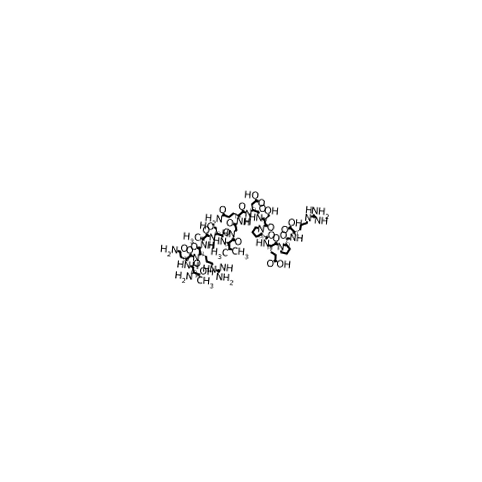 CC(C)[C@H](NC(=O)[C@H](CO)NC(=O)[C@H](C)NC(=O)[C@H](CCCNC(=N)N)NC(=O)[C@H](CC(N)=O)NC(=O)[C@@H](N)[C@@H](C)O)C(=O)NCC(=O)N[C@@H](CCC(N)=O)C(=O)N[C@@H](CC(=O)O)C(=O)N[C@@H](CO)C(=O)N1CCC[C@H]1C(=O)N[C@@H](CCC(=O)O)C(=O)N1CCC[C@H]1C(=O)N[C@@H](CCCNC(=N)N)C(=O)O